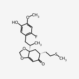 COc1cc(F)c(CC(C)[C@]23C[C@H](CCSC)C(=O)C=C2OCO3)cc1O